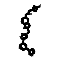 FC12CC(CNCc3ccc4nc(Cn5cc(-c6cncc(-n7ccnc7)c6)nn5)cn4c3)(C1)C2